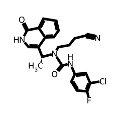 C[C@H](c1c[nH]c(=O)c2ccccc12)N(CCCC#N)C(=O)Nc1ccc(F)c(Cl)c1